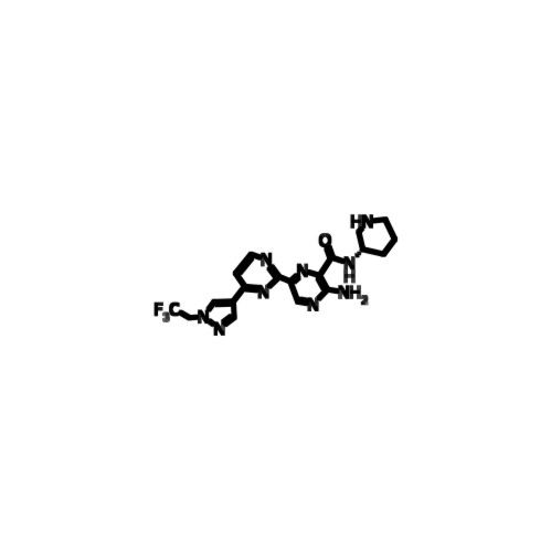 Nc1ncc(-c2nccc(-c3cnn(CC(F)(F)F)c3)n2)nc1C(=O)N[C@H]1CCCNC1